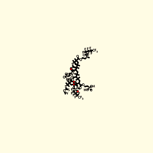 COC(=O)C(C(C)(C)CC(C(=O)OCCP(=O)(O)O)C(C)(C)C(C)(C)CC(C)(C(=O)OCCN(C)S(=O)(=O)C(F)(F)C(F)(F)C(F)(F)C(F)(F)F)C(C)(C)SC(=S)OC(C)C)C(C)(C)CC(C(=O)OCCP(=O)(O)O)C(C)(C)C(C)(C)CC(C)(C(=O)OCCN(C)S(=O)(=O)C(F)(F)C(F)(F)C(F)(F)C(F)(F)F)C(C)(C)SC(=S)OC(C)C